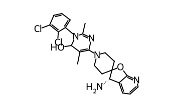 CC1=NC(N2CCC3(CC2)Oc2ncccc2[C@@H]3N)=C(C)C(O)N1c1cccc(Cl)c1Cl